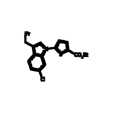 CCOC(=O)c1ccc(-n2cc(CC(C)C)c3ccc(Cl)cc32)s1